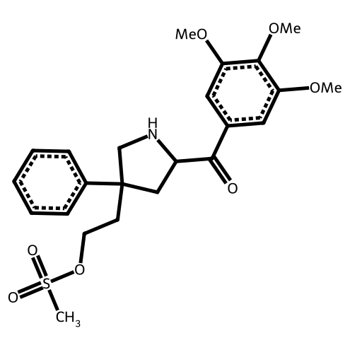 COc1cc(C(=O)C2CC(CCOS(C)(=O)=O)(c3ccccc3)CN2)cc(OC)c1OC